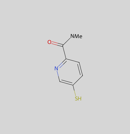 CNC(=O)c1ccc(S)cn1